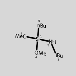 CCCC[Si](NC(C)CC)(OC)OC